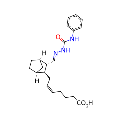 O=C(O)CCC/C=C\C[C@H]1[C@H]2CC[C@H](C2)[C@@H]1/C=N/NC(=O)Nc1ccccc1